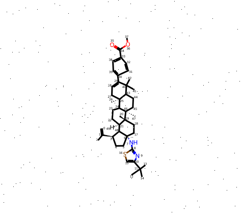 C=C(C)[C@@H]1CC[C@]2(Nc3nc(C(C)(C)C)cs3)CC[C@]3(C)[C@H](CCC4[C@@]5(C)CC=C(c6ccc(C(=O)OC)cc6)C(C)(C)C5CC[C@]43C)C12